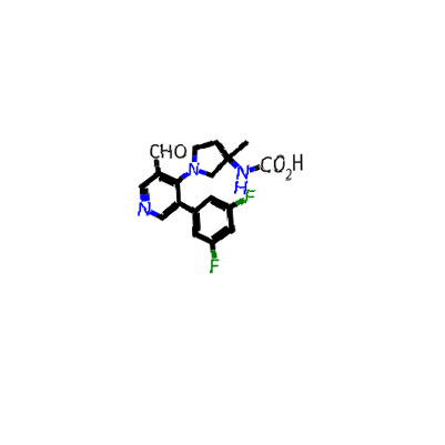 CC1(NC(=O)O)CCN(c2c(C=O)cncc2-c2cc(F)cc(F)c2)C1